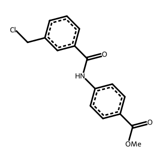 COC(=O)c1ccc(NC(=O)c2cccc(CCl)c2)cc1